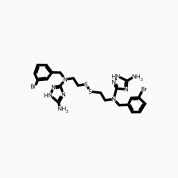 Nc1nc(N(CCSSCCN(Cc2cccc(Br)c2)c2n[nH]c(N)n2)Cc2cccc(Br)c2)n[nH]1